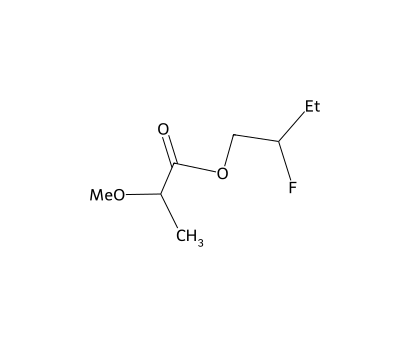 CCC(F)COC(=O)C(C)OC